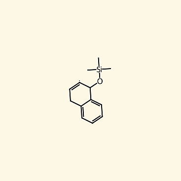 C[Si](C)(C)OC1[C]=CCc2ccccc21